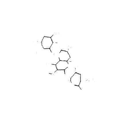 CNC1C(O[C@H]2OC(C)[C@@H](N)C[C@@H]2O)O[C@H]2C[C@H](N)[C@@H](O[C@@H]3C(N)C[C@@H](N)[C@@H](O)C3O)OC2C1O